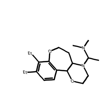 CCc1ccc2c(c1CC)OCCC1C2OCCN1C(C)N(C)C